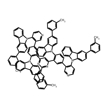 Cc1cccc(-c2ccc3c(c2)c2ccccc2n3-c2ccncc2-c2ccc(-n3c4ccccc4c4cc(-c5cccc(C)c5)ccc43)c(-c3cc(-c4cc(-c5cnccc5-n5c6ccccc6c6cc(-c7cccc(C)c7)ccc65)ccc4-n4c5ccccc5c5cc(-c6cccc(C)c6)ccc54)nc(-c4ccccc4)n3)c2)c1